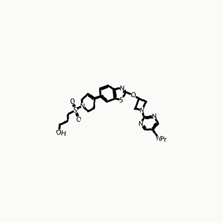 CCCc1cnc(N2CC(Oc3nc4ccc(C5=CCN(S(=O)(=O)CCCO)CC5)cc4s3)C2)nc1